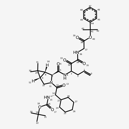 C=CCC(NC(=O)[C@@H]1[C@@H]2[C@H](CN1C(=O)[C@@H](NC(=O)OC(C)(C)C)C1CCCCC1)C2(C)C)C(=O)C(=O)NCC(=O)OC(C)(C)c1ccccc1